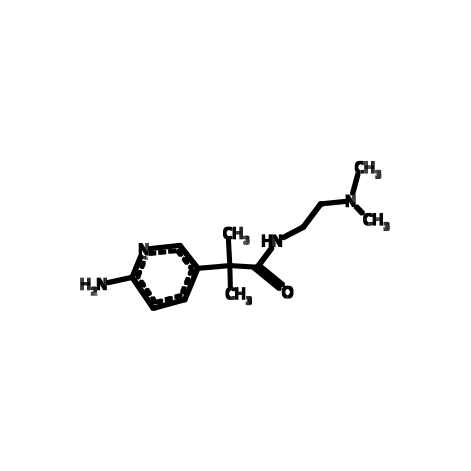 CN(C)CCNC(=O)C(C)(C)c1ccc(N)nc1